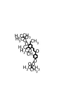 CCc1cc(C=CC(=O)c2ccc(OCOC(=O)C(C)(C)C)cc2)c(OC(C)C)c(CC)c1OCOC(=O)C(C)(C)C